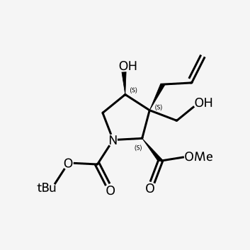 C=CC[C@]1(CO)[C@H](O)CN(C(=O)OC(C)(C)C)[C@@H]1C(=O)OC